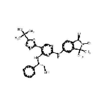 CCN1C(=O)c2ccc(Nc3ncc(-c4nnc(C(C)(C)O)o4)c(N[C@H](CO)c4ccccc4)n3)cc2C1(C)C